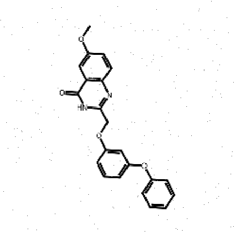 COc1ccc2nc(COc3cccc(Oc4ccccc4)c3)[nH]c(=O)c2c1